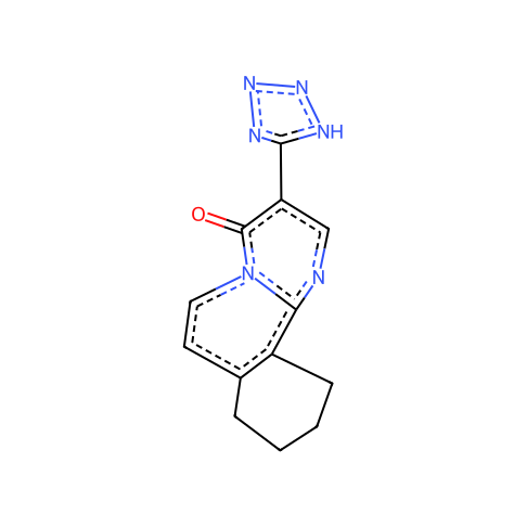 O=c1c(-c2nnn[nH]2)cnc2c3c(ccn12)CCCC3